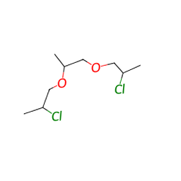 CC(Cl)COCC(C)OCC(C)Cl